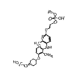 COc1c(OC2CCN(OC(=O)O)CC2)ccnc1Nc1ccc(OCCOP(=O)(O)OC(C)C)nc1C